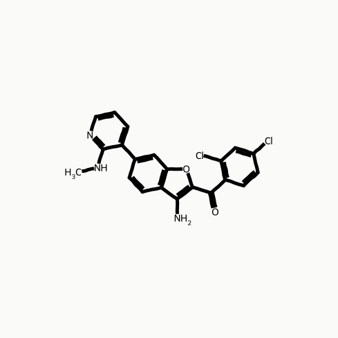 CNc1ncccc1-c1ccc2c(N)c(C(=O)c3ccc(Cl)cc3Cl)oc2c1